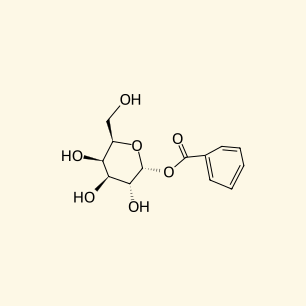 O=C(O[C@H]1O[C@H](CO)[C@H](O)[C@H](O)[C@H]1O)c1ccccc1